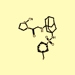 N#C[C@@H]1CCCN1C(=O)CNC12CC3CC(C1)CC(NS(=O)(=O)c1cccc(F)c1)(C3)C2